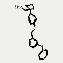 CCOC(=O)CC1(c2ccc(OCc3cccc(Oc4ccccc4)c3)cc2)COC1